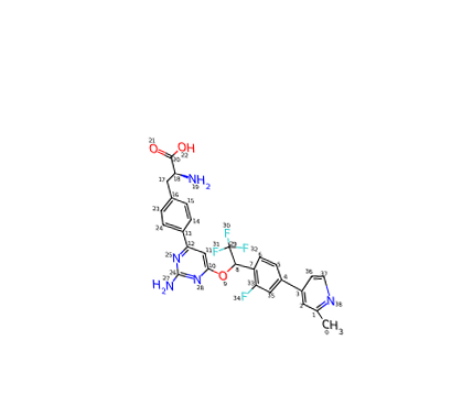 Cc1cc(-c2ccc(C(Oc3cc(-c4ccc(C[C@H](N)C(=O)O)cc4)nc(N)n3)C(F)(F)F)c(F)c2)ccn1